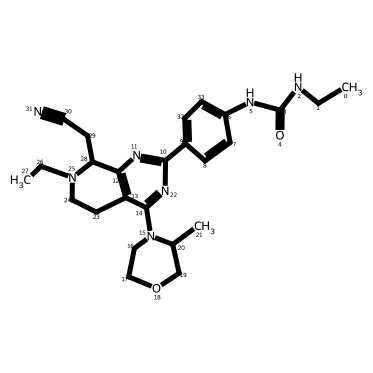 CCNC(=O)Nc1ccc(-c2nc3c(c(N4CCOCC4C)n2)CCN(CC)C3CC#N)cc1